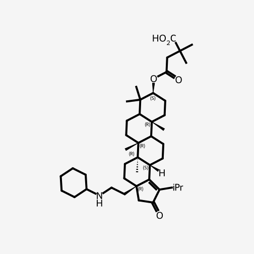 CC(C)C1=C2[C@H]3CCC4[C@@]5(C)CC[C@H](OC(=O)CC(C)(C)C(=O)O)C(C)(C)C5CC[C@@]4(C)[C@]3(C)CC[C@@]2(CCNC2CCCCC2)CC1=O